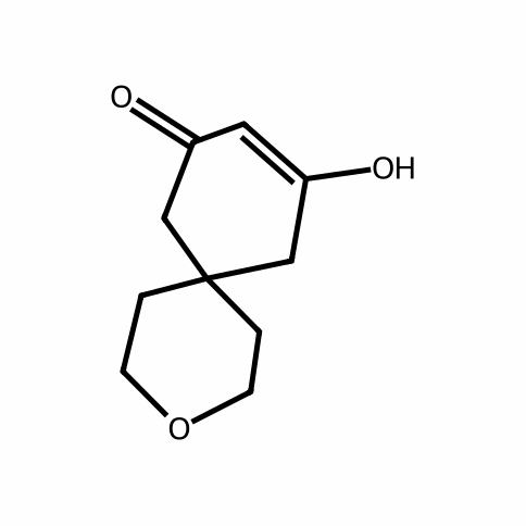 O=C1C=C(O)CC2(CCOCC2)C1